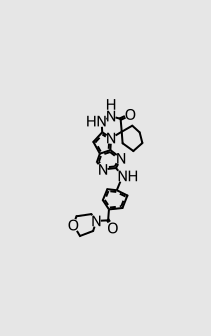 O=C(c1ccc(Nc2ncc3cc4n(c3n2)C2(CCCCC2)C(=O)NN4)cc1)N1CCOCC1